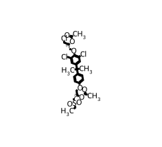 CCS(=O)(=O)C[C@H](COc1ccc(C(C)(C)c2cc(Cl)c(OC[C@H](CCl)OC(C)=O)c(Cl)c2)cc1)OC(C)=O